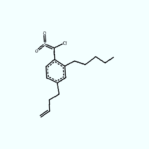 C=CCCc1ccc(C(Cl)=S(=O)=O)c(CCCCC)c1